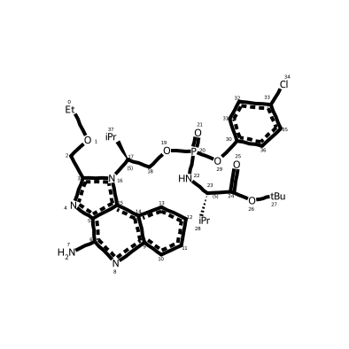 CCOCc1nc2c(N)nc3ccccc3c2n1[C@H](COP(=O)(N[C@H](C(=O)OC(C)(C)C)C(C)C)Oc1ccc(Cl)cc1)C(C)C